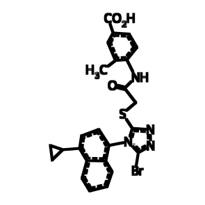 Cc1cc(C(=O)O)ccc1NC(=O)CSc1nnc(Br)n1-c1ccc(C2CC2)c2ccccc12